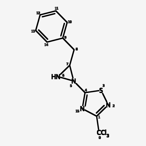 ClC(Cl)(Cl)c1nsc(N2NC2Cc2ccccc2)n1